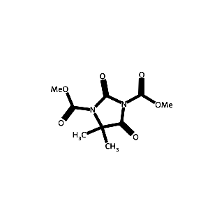 COC(=O)N1C(=O)N(C(=O)OC)C(C)(C)C1=O